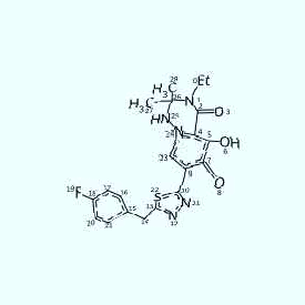 CCN1C(=O)c2c(O)c(=O)c(-c3nnc(Cc4ccc(F)cc4)s3)cn2NC1(C)C